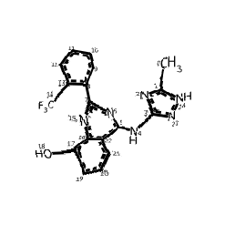 Cc1nc(Nc2nc(-c3ccccc3C(F)(F)F)nc3c(O)cccc23)n[nH]1